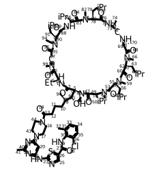 CC[C@@H]1NC(=O)[C@H]([C@H](O)[C@H](C)CCCC(=O)N2CCN(c3cc(Nc4ncc(C(=O)Nc5c(C)cccc5Cl)s4)nc(C)n3)CC2)N(C)C(=O)[C@H](C(C)C)N(C)C(=O)[C@H](CC(C)C)N(C)C(=O)[C@H](CC(C)C)N(C)C(=O)[C@@H](C)NC[C@H](C)NC(=O)[C@H](CC(C)C)N(C)C(=O)[C@H](C(C)C)NC(=O)[C@H](CC(C)C)N(C)C(=O)CN(C)C1=O